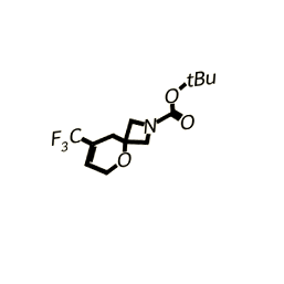 CC(C)(C)OC(=O)N1CC2(CC(C(F)(F)F)=CCO2)C1